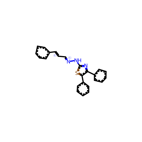 C(=C\c1ccccc1)/C=N/Nc1nc(-c2ccccc2)c(-c2ccccc2)s1